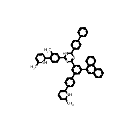 CC1=CC=CC(c2ccc(C3=NC(c4cc(-c5ccc(C6=CC=CC(C)N6)cc5)cc(-c5cc6ccccc6c6ccccc56)c4)=NC(c4ccc(-c5ccccc5)cc4)N3)cc2C)N1